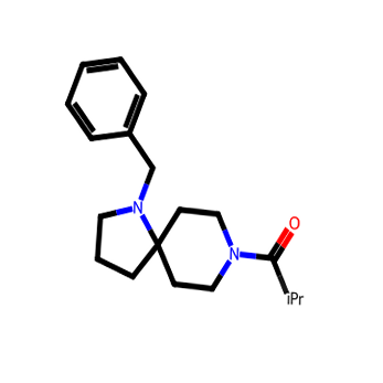 CC(C)C(=O)N1CCC2(CCCN2Cc2ccccc2)CC1